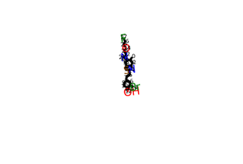 Cc1cc2nc(/C=C/c3ccc(O)c(Br)c3)sc2cc1N(C)CCOCCF